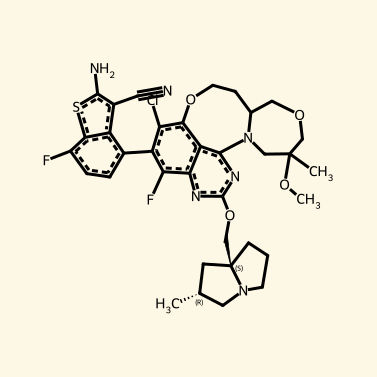 COC1(C)COCC2CCOc3c(Cl)c(-c4ccc(F)c5sc(N)c(C#N)c45)c(F)c4nc(OC[C@@]56CCCN5C[C@H](C)C6)nc(c34)N2C1